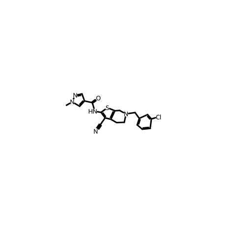 Cn1cc(C(=O)Nc2sc3c(c2C#N)CCN(Cc2cccc(Cl)c2)C3)cn1